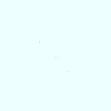 CCC(C)=C(C)C(=O)OC1COC1